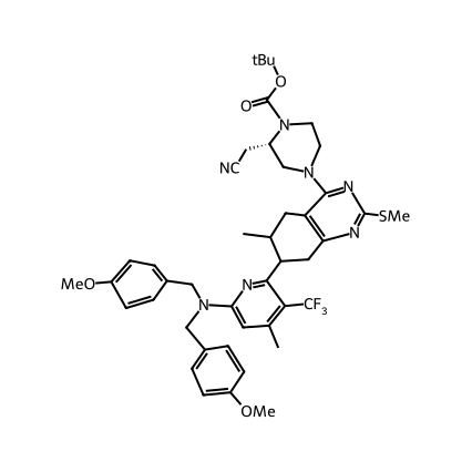 COc1ccc(CN(Cc2ccc(OC)cc2)c2cc(C)c(C(F)(F)F)c(C3Cc4nc(SC)nc(N5CCN(C(=O)OC(C)(C)C)[C@@H](CC#N)C5)c4CC3C)n2)cc1